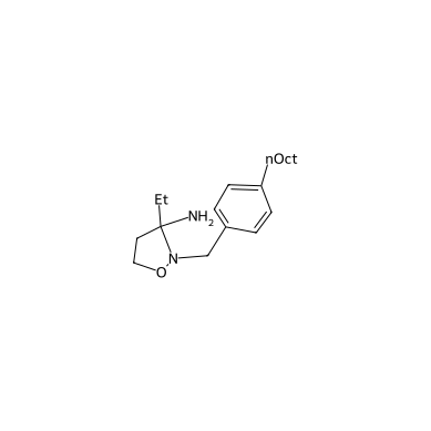 CCCCCCCCc1ccc(CN2OCCC2(N)CC)cc1